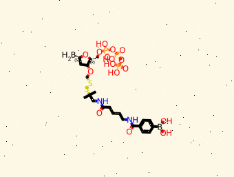 B[C@H]1CC(OCSSC(C)(C)CNC(=O)CCCCNC(=O)c2ccc(B(O)O)cc2)[C@@H](COP(=O)(O)OP(=O)(O)OP(=O)(O)O)O1